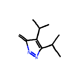 C=C1N=NC(C(C)C)=C1C(C)C